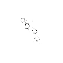 CC(C)[C@]1(C#N)CCN(c2ccnc(Nc3ccc(C4(C(=O)O)CCCC4)cc3)n2)C1=O